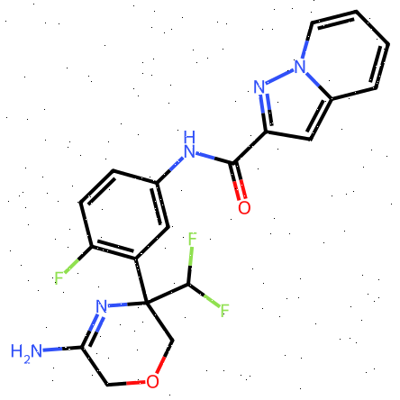 NC1=NC(c2cc(NC(=O)c3cc4ccccn4n3)ccc2F)(C(F)F)COC1